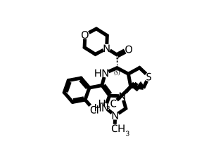 CC1=CC=C2SCC3[C@@H](C(=O)N4CCOCC4)NC(c4ccccc4Cl)=C4NN(C)CN4C123